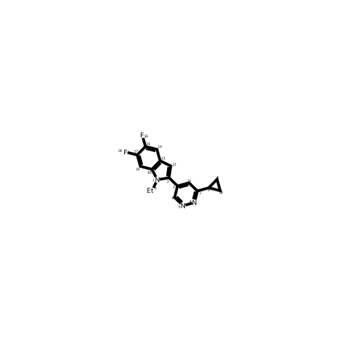 CCn1c(-c2cnnc(C3CC3)c2)cc2cc(F)c(F)cc21